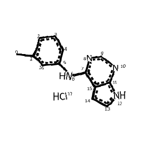 Cc1cccc(Nc2ncnc3[nH]ccc23)c1.Cl